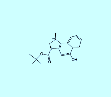 C[C@@H]1CN(C(=O)OC(C)(C)C)c2cc(O)c3ccccc3c21